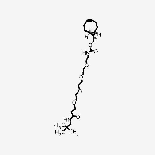 CC(C)(C)CNC(=O)CCOCCOCCOCCOCCNC(=O)OC[C@@H]1[C@@H]2CCC#CCC[C@@H]21